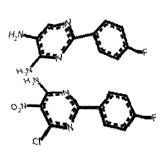 Nc1cnc(-c2ccc(F)cc2)nc1N.Nc1nc(-c2ccc(F)cc2)nc(Cl)c1[N+](=O)[O-]